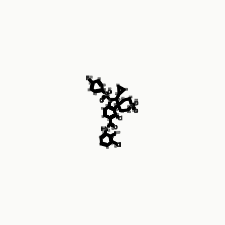 O=C(Nc1cccc(Cl)c1F)c1ccc2c(c1Cl)C1(CCS(=O)(=O)CC1)C(C1CC1)N2S(=O)(=O)c1ccc(F)cc1